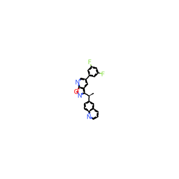 C[C@@H](c1ccc2ncccc2c1)c1noc2ncc(-c3cc(F)cc(F)c3)cc12